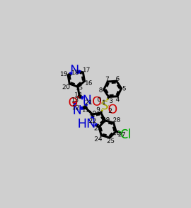 O=S(=O)(c1ccccc1)c1c(-c2noc(-c3ccncc3)n2)[nH]c2ccc(Cl)cc12